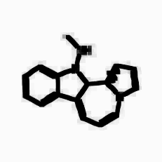 [CH2]NN1c2ccccc2C2=CC=CN3C=CC4=CC=CC43C21